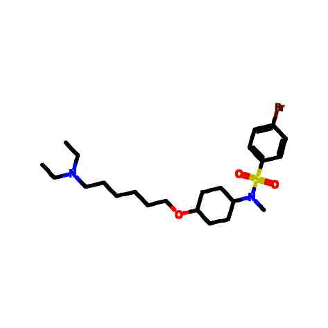 CCN(CC)CCCCCCOC1CCC(N(C)S(=O)(=O)c2ccc(Br)cc2)CC1